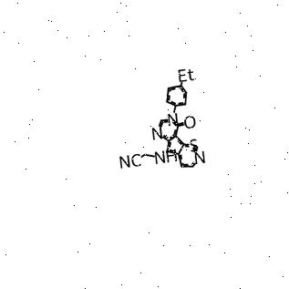 CCc1ccc(-n2cnc3c(NCC#N)c4ccnsc-4c3c2=O)cc1